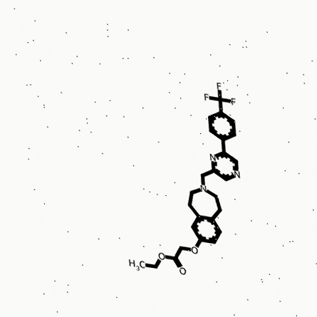 CCOC(=O)COc1ccc2c(c1)CCN(Cc1cncc(-c3ccc(C(F)(F)F)cc3)n1)CC2